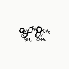 COc1ccc2c(N3CCNC(CC(N)=O)(Cc4ccccc4)C3)ccc(OC)c2n1